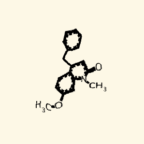 COc1ccc2c(Cc3ccccc3)cc(=O)n(C)c2c1